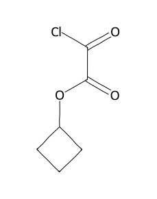 O=C(Cl)C(=O)OC1CCC1